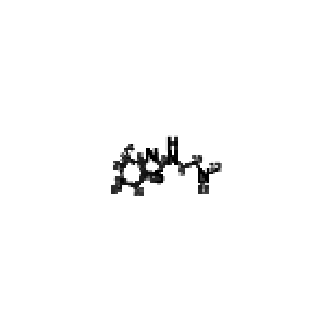 Cc1cc(C)c2nc(NCCN(C)C)sc2c1